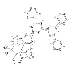 CC1(C)c2ccccc2C2(c3ccccc3-c3cc(-c4cc(-c5cc(-c6ccccc6)cc(-c6ccccc6)c5)nc(-c5ccccc5)n4)ccc32)c2ccccc21